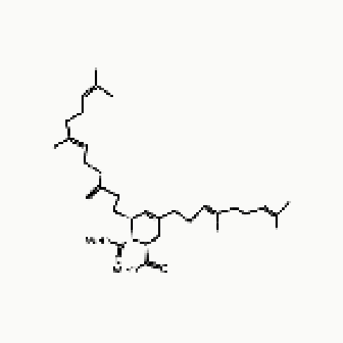 C=C(CC/C=C(\C)CCC=C(C)C)CC[C@H]1C=C(CC/C=C(\C)CCC=C(C)C)C[C@@H](C(=O)OC)[C@@H]1C(=O)OC